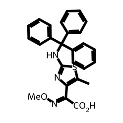 CO/N=C(/C(=O)O)c1nc(NC(c2ccccc2)(c2ccccc2)c2ccccc2)sc1C